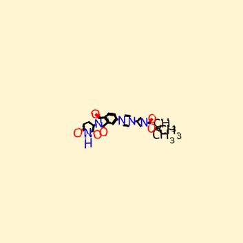 CC(C)(C)OC(=O)N1CC(N2CCN(c3ccc4c(c3)C(=O)N(C3CCC(=O)NC3=O)C4=O)CC2)C1